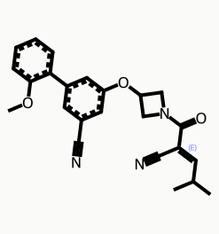 COc1ccccc1-c1cc(C#N)cc(OC2CN(C(=O)/C(C#N)=C/C(C)C)C2)c1